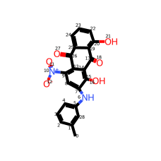 Cc1cccc(Nc2cc([N+](=O)[O-])c3c(c2O)C(=O)c2c(O)cccc2C3=O)c1